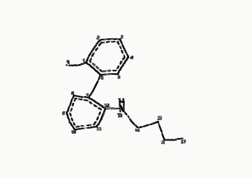 [CH2]c1ccccc1-c1ccccc1NCCCC